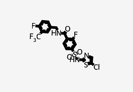 O=C(NCc1ccc(F)c(C(F)(F)F)c1)c1ccc(S(=O)(=O)Nc2ncc(Cl)s2)cc1F